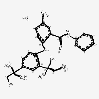 CCC(C)(C)c1ccc(Oc2ccc(N)cc2C(=O)Nc2ccccc2)c(C(C)(C)CC)c1.Cl